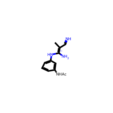 CC(=O)Nc1cccc(N/C(N)=C(\C)C=N)c1